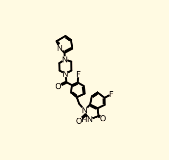 O=C(c1cc(Cn2c(=O)[nH]c(=O)c3cc(F)ccc32)ccc1F)N1CCN(c2ccccn2)CC1